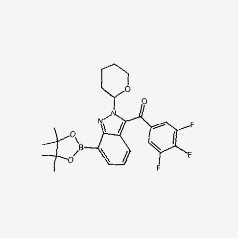 CC1(C)OB(c2cccc3c(C(=O)c4cc(F)c(F)c(F)c4)n(C4CCCCO4)nc23)OC1(C)C